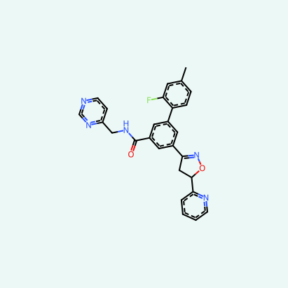 Cc1ccc(-c2cc(C(=O)NCc3ccncn3)cc(C3=NOC(c4ccccn4)C3)c2)c(F)c1